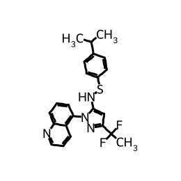 CC(C)c1ccc(SNc2cc(C(C)(F)F)nn2-c2cccc3ncccc23)cc1